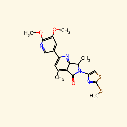 COc1cc(-c2cc(C)c3c(n2)C(C)N(c2csc(SC)n2)C3=O)cnc1OC